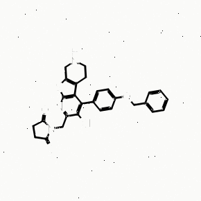 O=C1CCC(=O)N1Cc1nc2sc3c(c2c(-c2ccc(OCc4ccccc4)cc2)c1Cl)CCNC3